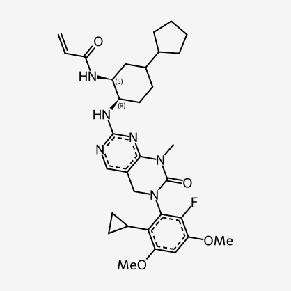 C=CC(=O)N[C@H]1CC(C2CCCC2)CC[C@H]1Nc1ncc2c(n1)N(C)C(=O)N(c1c(F)c(OC)cc(OC)c1C1CC1)C2